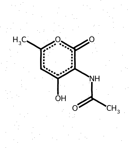 CC(=O)Nc1c(O)cc(C)oc1=O